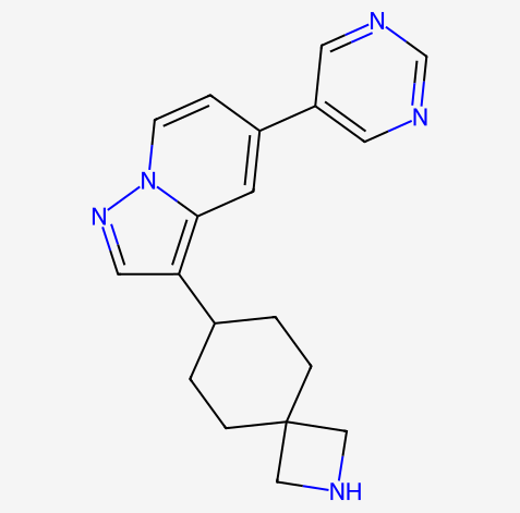 c1ncc(-c2ccn3ncc(C4CCC5(CC4)CNC5)c3c2)cn1